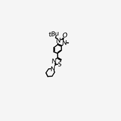 Cn1c(=O)n(CC(C)(C)C)c2ccc(-c3csc(N4CCCCC4)n3)cc21